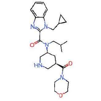 CC(C)CN(C(=O)c1nc2ccccc2n1CC1CC1)[C@@H]1CNC[C@H](C(=O)N2CCOCC2)C1